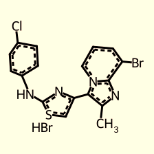 Br.Cc1nc2c(Br)cccn2c1-c1csc(Nc2ccc(Cl)cc2)n1